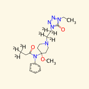 [2H]C([2H])([2H])CC(=O)N(c1ccccc1)C1(OC)CCN(C([2H])([2H])C([2H])([2H])n2nnn(CC)c2=O)CC1